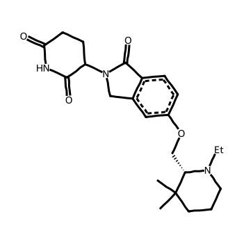 CCN1CCCC(C)(C)[C@@H]1COc1ccc2c(c1)CN(C1CCC(=O)NC1=O)C2=O